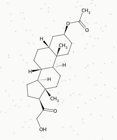 CC(=O)O[C@H]1CC[C@@]2(C)[C@H](CC[C@@H]3[C@@H]2CC[C@]2(C)[C@@H](C(=O)CO)CC[C@@H]32)C1